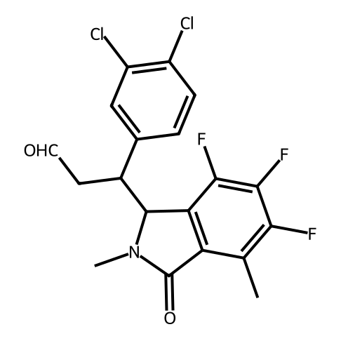 Cc1c(F)c(F)c(F)c2c1C(=O)N(C)C2C(CC=O)c1ccc(Cl)c(Cl)c1